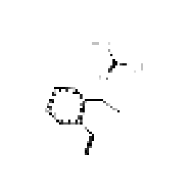 C=Cc1ccccc1CC.O=C(O)O